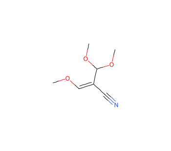 COC=C(C#N)C(OC)OC